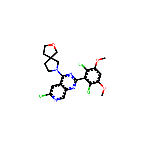 COc1cc(OC)c(Cl)c(-c2nc(N3CCC4(CCOC4)C3)c3cc(Cl)ncc3n2)c1Cl